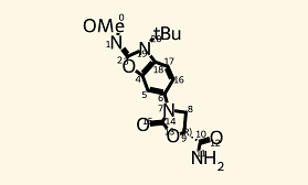 CON=c1oc2cc(N3C[C@H](C(N)=O)OC3=O)ccc2n1C(C)(C)C